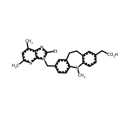 CCc1nc2c(C)cc(C)nc2n1Cc1ccc2c(c1)CCc1cc(CC(=O)O)ccc1N2C